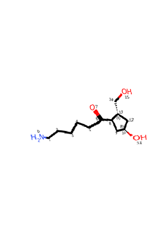 NCCCCCC(=O)C1C[C@H](O)C[C@H]1CO